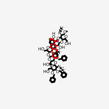 CO[C@H]1OC(CO)[C@@H](O[C@@H]2OC(C(=O)O)[C@H](O[C@@H]3OC(CO)[C@@H](O[C@@H]4OC(C(=O)O)[C@@H](O[C@H]5OC(CO)[C@@H](OCc6ccccc6)[C@H](OCc6ccccc6)C5N=[N+]=[N-])[C@H](OCc5ccccc5)C4OCc4ccccc4)C(O)[C@@H]3N=[N+]=[N-])[C@@H](OCc3ccccc3)C2O)C(OCc2ccccc2)[C@@H]1N=[N+]=[N-]